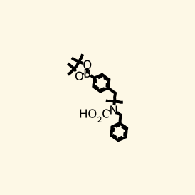 CC(C)(Cc1ccc(B2OC(C)(C)C(C)(C)O2)cc1)N(Cc1ccccc1)C(=O)O